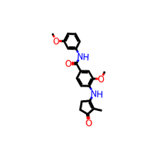 COc1cccc(NC(=O)c2ccc(NC3=C(C)C(=O)CC3)c(OC)c2)c1